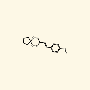 COc1ccc(C=CC2COC3(CCCC3)OO2)cc1